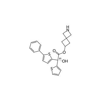 O=C(OC1CC2(CNC2)C1)[C@@](O)(c1cccs1)c1ccc(-c2ccccc2)s1